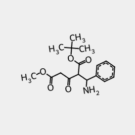 COC(=O)CC(=O)C(C(=O)OC(C)(C)C)C(N)c1ccccc1